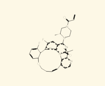 C=CC(=O)N1CCN(c2nc(=O)n3c4nc(c(F)cc24)C2C(F)=CC=CC2OCC/C=C\c2ccnc(C(C)C)c2-3)[C@@H](C)C1